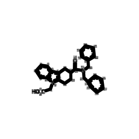 O=C(O)Cn1c2c(c3ccccc31)CC(C(=O)N(Cc1ccccc1)Cc1ccccc1)CC2